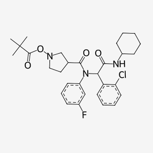 CC(C)(C)C(=O)ON1CCC(C(=O)N(c2cccc(F)c2)C(C(=O)NC2CCCCC2)c2ccccc2Cl)C1